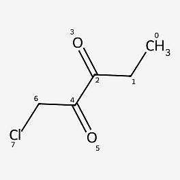 CCC(=O)C(=O)CCl